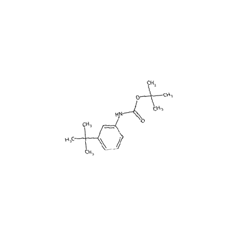 CC(C)(C)OC(=O)Nc1cccc(C(C)(C)C)c1